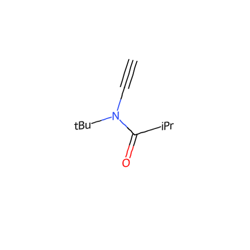 C#CN(C(=O)C(C)C)C(C)(C)C